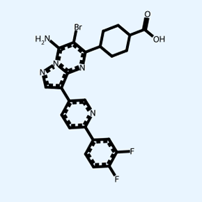 Nc1c(Br)c(C2CCC(C(=O)O)CC2)nc2c(-c3ccc(-c4ccc(F)c(F)c4)nc3)cnn12